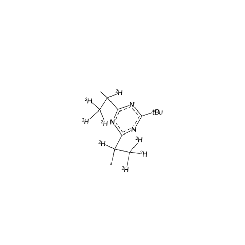 [2H]C([2H])([2H])C([2H])(C)c1nc(C(C)(C)C)nc(C([2H])(C)C([2H])([2H])[2H])n1